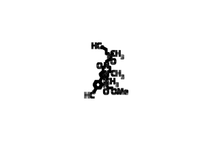 C#CCCN(C)C(=O)CN1CC(C)n2nc(-c3ccc(C#C)cc3N(C)C(=O)COC)cc2C1=O